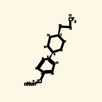 CCCCCCCCCOc1ccc([C@H]2CC[C@H](CCC(F)(F)F)CC2)cc1